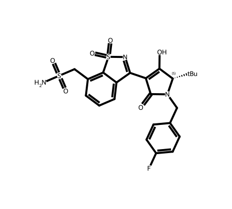 CC(C)(C)[C@H]1C(O)=C(C2=NS(=O)(=O)c3c(CS(N)(=O)=O)cccc32)C(=O)N1Cc1ccc(F)cc1